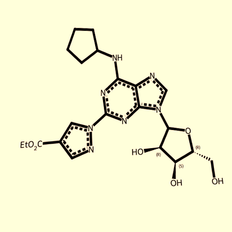 CCOC(=O)c1cnn(-c2nc(NC3CCCC3)c3ncn(C4O[C@H](CO)[C@@H](O)[C@H]4O)c3n2)c1